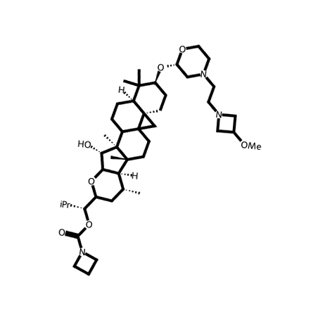 COC1CN(CCN2CCO[C@@H](O[C@H]3CC[C@]45CC46CC[C@]4(C)[C@@H]7C(OC([C@H](OC(=O)N8CCC8)C(C)C)C[C@H]7C)[C@H](O)[C@@]4(C)C6CC[C@H]5C3(C)C)C2)C1